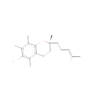 C/C(F)=C/CC[C@]1(C)CCc2c(C)c(O)c(C)c(C)c2O1